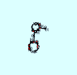 CCC(=O)CCCCC[C@@H]1NC(=O)[C@H]2CC23CCN(CCCCN2C4CCC2c2c(ccc(CCC(=O)CCCCC[C@@H]5NC(=O)[C@H]6CC67CCN(CCCCCCCCn6ccc8cc(ccc8c6=O)-c6cnc5[nH]6)CC7)c24)-c2cnc1[nH]2)CC3